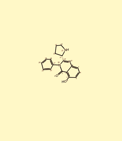 O=c1c2c(O)cccc2nc([C@@H]2CCCN2)n1-c1ccccc1